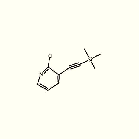 C[Si](C)(C)C#Cc1cccnc1Cl